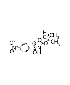 CC(C)(C)OC(=O)NS(=O)(=O)c1ccc([N+](=O)[O-])cc1